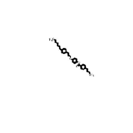 CCCCCCCC1CCC(CCCOc2ccc(OC(=O)C3CCC(CCCC)CC3)cc2)CC1